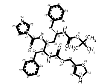 CC(C)(C)OC(=O)N[C@@H](Cc1ccccc1)C[C@H](OC(=S)n1ccnc1)[C@H](Cc1ccccc1)NC(=O)OCC1=CNCS1